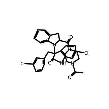 CC(=O)N1CCN(C(=O)C2Cc3ccccc3N2C2(Cc3cccc(Cl)c3)C(=O)Nc3cc(Cl)ccc32)CC1